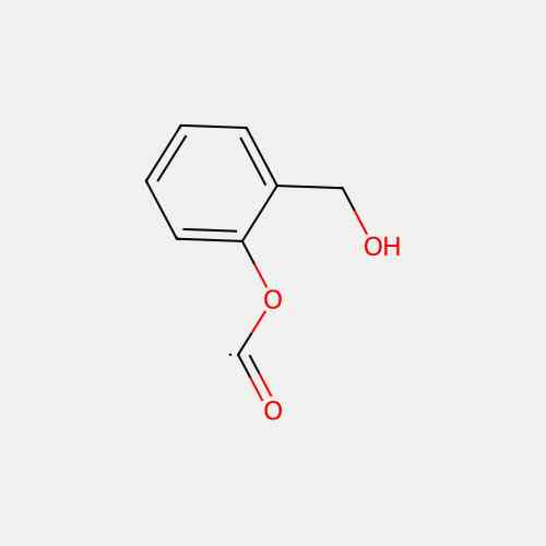 O=[C]Oc1ccccc1CO